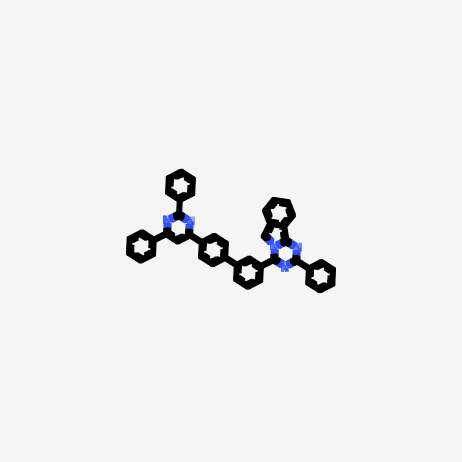 c1ccc(-c2cc(-c3ccc(-c4cccc(-c5nc(-c6ccccc6)nc6c7ccccc7cn56)c4)cc3)nc(-c3ccccc3)n2)cc1